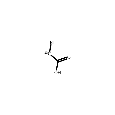 O=C(O)[13CH2]Br